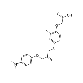 C=C(COc1ccc(N(C)C)cc1)CSc1ccc(OCC(=O)O)c(C)c1